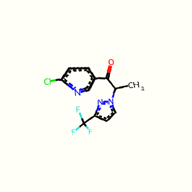 CC(C(=O)c1ccc(Cl)nc1)n1ccc(C(F)(F)F)n1